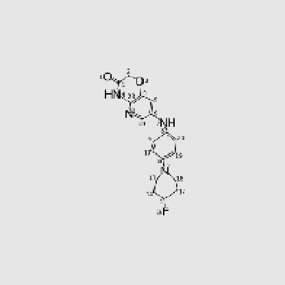 O=C1COc2cc(Nc3ccc(N4CCC(F)CC4)cc3)cnc2N1